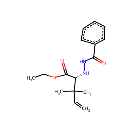 C=CC(C)(C)[C@@H](NNC(=O)c1ccccc1)C(=O)OCC